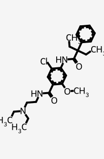 CCN(CC)CCNC(=O)c1cc(Cl)c(NC(=O)C(CC)(CC)c2ccccc2)cc1OC